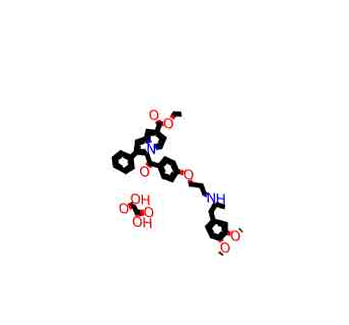 CCOC(=O)c1ccn2c(C(=O)c3ccc(OCCCNC(C)Cc4ccc(OC)c(OC)c4)cc3)c(-c3ccccc3)cc2c1.O=C(O)C(=O)O